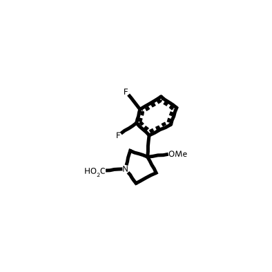 COC1(c2cccc(F)c2F)CCN(C(=O)O)C1